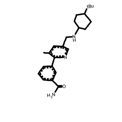 Cc1cc(CNC2CCC(C(C)(C)C)CC2)cnc1-c1cccc(C(N)=O)c1